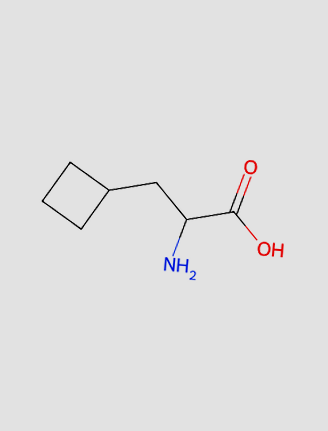 NC(CC1CCC1)C(=O)O